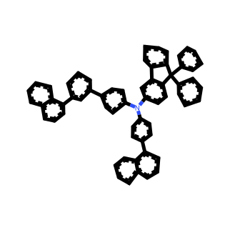 c1ccc(C2(c3ccccc3)c3ccccc3-c3cc(N(c4ccc(-c5cccc(-c6cccc7ccccc67)c5)cc4)c4ccc(-c5cccc6ccccc56)cc4)ccc32)cc1